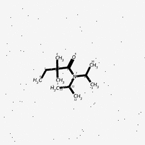 CCC(C)(C)C(=O)N(C(C)C)C(C)C